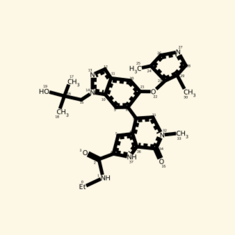 CCNC(=O)c1cc2c(-c3cc4c(cnn4CC(C)(C)O)cc3Oc3c(C)cncc3C)cn(C)c(=O)c2[nH]1